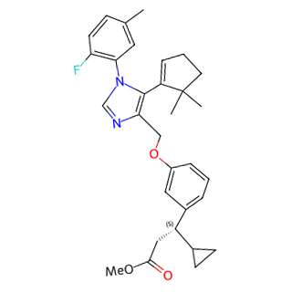 COC(=O)C[C@H](c1cccc(OCc2ncn(-c3cc(C)ccc3F)c2C2=CCCC2(C)C)c1)C1CC1